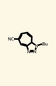 CCC(C)N1N=NC2=CC(C#N)=CC=CC21